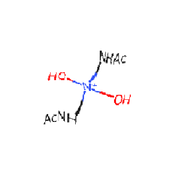 CC(=O)N[N+](O)(O)NC(C)=O